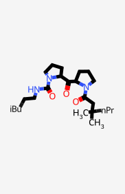 CCCC(C)(C)CC(=O)N1CCCC1C(=O)C1CCCN1C(=O)NCCC(C)CC